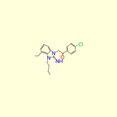 CCCCn1c(=N)n(CC(=O)c2ccc(Cl)cc2)c2cccc(CC)c21